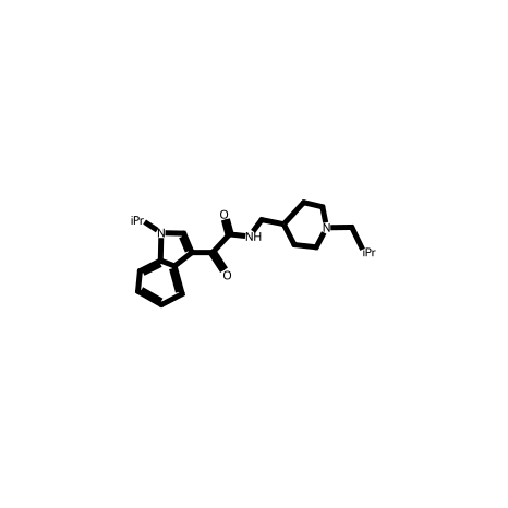 CC(C)CN1CCC(CNC(=O)C(=O)c2cn(C(C)C)c3ccccc23)CC1